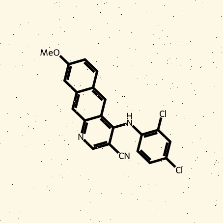 COc1ccc2cc3c(Nc4ccc(Cl)cc4Cl)c(C#N)cnc3cc2c1